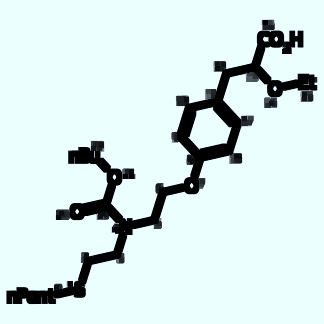 CCCCCSCCN(CCOc1ccc(CC(OCC)C(=O)O)cc1)C(=O)OCCCC